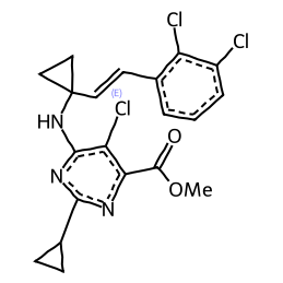 COC(=O)c1nc(C2CC2)nc(NC2(/C=C/c3cccc(Cl)c3Cl)CC2)c1Cl